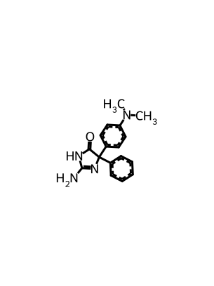 CN(C)c1ccc(C2(c3ccccc3)N=C(N)NC2=O)cc1